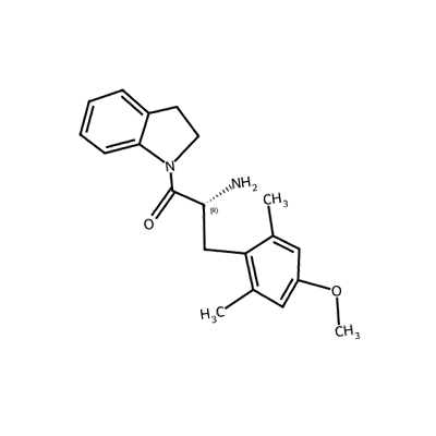 COc1cc(C)c(C[C@@H](N)C(=O)N2CCc3ccccc32)c(C)c1